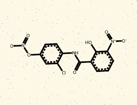 O=C(Nc1ccc(O[N+](=O)[O-])cc1Cl)c1cccc([N+](=O)[O-])c1O